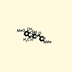 CNc1ccc(C(=O)N2C[C@@H]3C[C@H]2CN3[C@@H](C)c2ccc(OC)c(C)c2C)cn1